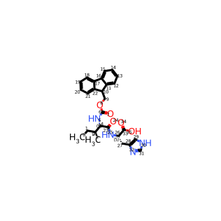 CC[C@H](C)[C@H](NC(=O)OCC1c2ccccc2-c2ccccc21)C(=O)N[C@@H](Cc1c[nH]cn1)C(=O)O